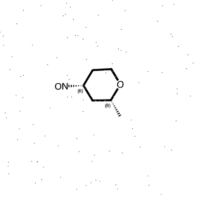 C[C@@H]1C[C@H](N=O)CCO1